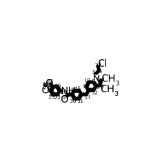 Cc1c(C)n(CCCCl)c2ccc(Cc3ccc(C(=O)Nc4ccc5c(c4)OCO5)cc3)cc12